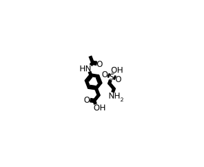 CC(=O)Nc1ccc(CC(=O)O)cc1.NCCS(=O)(=O)O